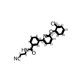 N#CCCNC(=O)c1cccc(-c2cccc(Oc3ccccc3Cl)n2)c1